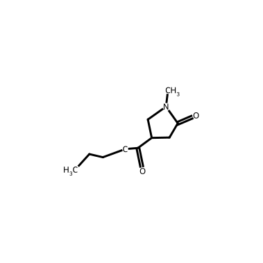 CCCCC(=O)C1CC(=O)N(C)C1